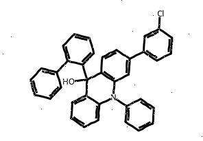 OC1(c2ccccc2-c2ccccc2)c2ccccc2N(c2ccccc2)c2cc(-c3cccc(Cl)c3)ccc21